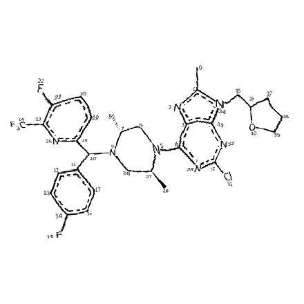 Cc1nc2c(N3C[C@@H](C)N(C(c4ccc(F)cc4)c4ccc(F)c(C(F)(F)F)n4)C[C@@H]3C)nc(Cl)nc2n1CC1CCCO1